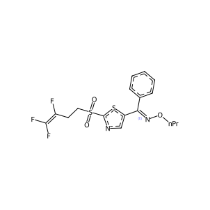 CCCO/N=C(\c1ccccc1)c1cnc(S(=O)(=O)CCC(F)=C(F)F)s1